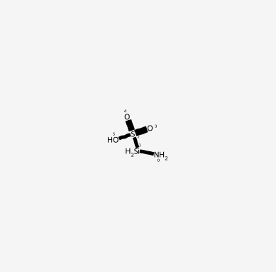 N[SiH2]S(=O)(=O)O